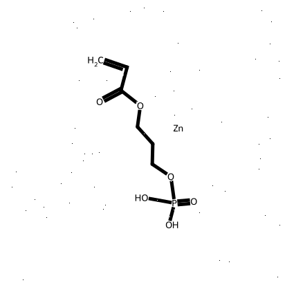 C=CC(=O)OCCCOP(=O)(O)O.[Zn]